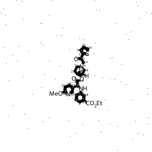 CCOC(=O)c1cccc(NC(C(=O)O[C@H]2C[N+]3(CC(=O)c4cccs4)CCC2CC3)c2ccc(OC)nc2)c1